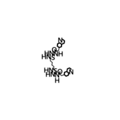 N=C(CCCCC(=N)SC(=N)NC(=O)Cc1ccc2ncccc2c1)SC(=N)NC(=O)Cc1ccc2ncccc2c1